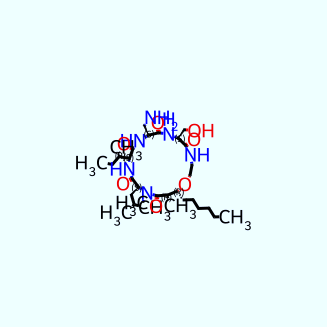 CCCCCC[C@H]1OCCNC(=O)[C@H](CO)NC(=O)[C@H](CN)NC(=O)[C@H]([C@H](C)CC)NC(=O)[C@H](CC(C)C)N(C)C(=O)[C@@H]1C